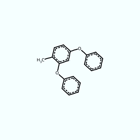 Cc1ccc(Oc2ccccc2)[c]c1Oc1ccccc1